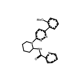 COc1ccccc1-c1ccc(N2CCCCC2NC(=O)c2ccccn2)nn1